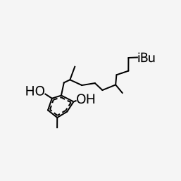 CCC(C)CCCC(C)CCCC(C)Cc1c(O)cc(C)cc1O